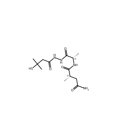 C[C@H](NC(=O)[C@@H](C)CC(N)=O)C(=O)NNC(=O)CC(C)(C)S